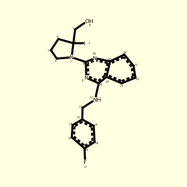 OCC1(I)CCCN1c1nc(NCc2ccc(F)cc2)c2ccccc2n1